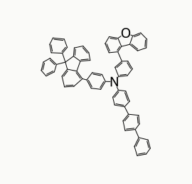 c1ccc(-c2ccc(-c3ccc(N(c4ccc(-c5cccc6c5-c5ccccc5C6(c5ccccc5)c5ccccc5)cc4)c4cccc(-c5cccc6oc7ccccc7c56)c4)cc3)cc2)cc1